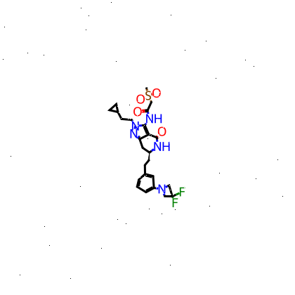 CS(=O)(=O)CC(=O)Nc1c2c(nn1CCC1CC1)C[C@H](CCc1cccc(N3CC(F)(F)C3)c1)NC2=O